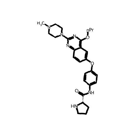 CCCOc1nc(N2CCN(C)CC2)nc2ccc(Oc3ccc(NC(=O)[C@@H]4CCCN4)cc3)cc12